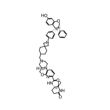 O=C1CC[C@H](NC(=O)c2ccc3c(n2)OC[C@H]2CN(CC4CCC5(CC4)CN(c4ccc([C@@H]6c7ccc(O)cc7OC[C@@H]6c6ccccc6)cc4)C5)CCN32)C(=O)N1